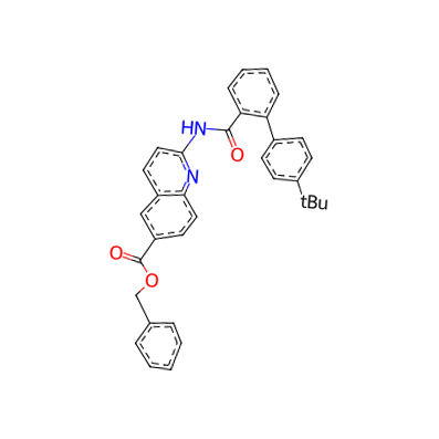 CC(C)(C)c1ccc(-c2ccccc2C(=O)Nc2ccc3cc(C(=O)OCc4ccccc4)ccc3n2)cc1